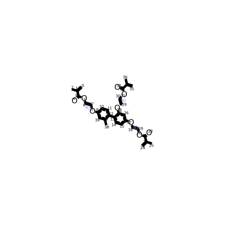 C=C(C)C(=O)O/C=C/Oc1ccc(-c2ccc(O/C=C/OC(=O)C(=C)C)cc2O/C=C/OC(=O)C(=C)C)c(C)c1